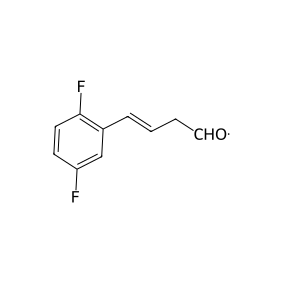 O=[C]CC=Cc1cc(F)ccc1F